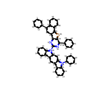 c1ccc(-c2cc3c4nc(-n5c6ccccc6c6cc7c8ccccc8n(-c8ccccc8)c7cc65)nc(-c5ccccc5)c4sc3c3ccccc23)cc1